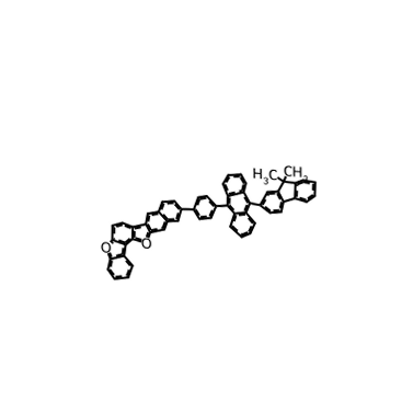 CC1(C)c2ccccc2-c2ccc(-c3c4ccccc4c(-c4ccc(-c5ccc6cc7c(cc6c5)oc5c7ccc6oc7ccccc7c65)cc4)c4ccccc34)cc21